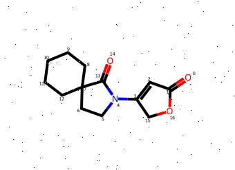 O=C1C=C(N2CCC3(CCCCC3)C2=O)CO1